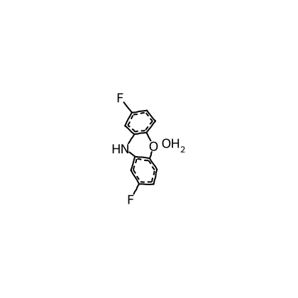 Fc1ccc2c(c1)Nc1cc(F)ccc1O2.O